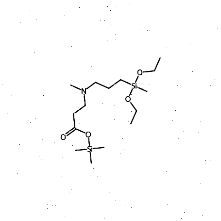 CCO[Si](C)(CCCN(C)CCC(=O)O[Si](C)(C)C)OCC